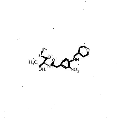 CC(C)OC(=O)[C@@H](NC(=O)Cc1ccc(NCC2CCOCC2)c([N+](=O)[O-])c1)[C@@H](C)O